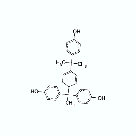 CC(C)(C1=CCC(C(C)(c2ccc(O)cc2)c2ccc(O)cc2)C=C1)c1ccc(O)cc1